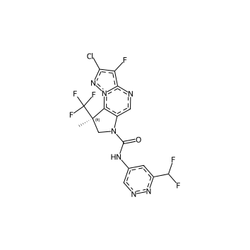 C[C@@]1(C(F)(F)F)CN(C(=O)Nc2cnnc(C(F)F)c2)c2cnc3c(F)c(Cl)nn3c21